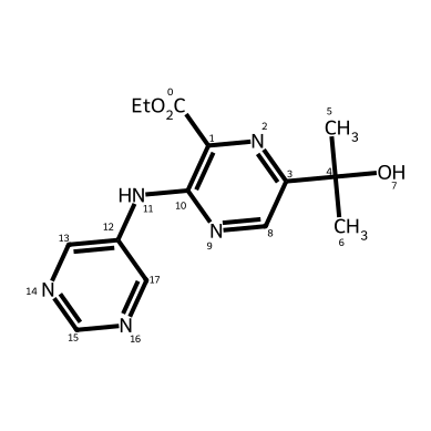 CCOC(=O)c1nc(C(C)(C)O)cnc1Nc1cncnc1